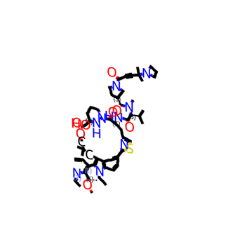 C=C/C(=C(\N=C/C)[C@H](C)OC)c1c2c3cc(ccc3n1CC)-c1nc(cs1)C[C@H](NC(=O)[C@H](C(C)C)N(C)C(=O)[C@H]1CCN(C(=O)C#CC(C)(C)N3CCC3)C1)C(=O)N1CCC[C@@](O)(N1)C(=O)OCC(C)(C)C2